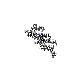 CCOc1cc2ncc(C#N)c(Nc3ccc(OCc4ccccn4)c(Cl)c3)c2cc1NC(/C=C/CN(C)C)OC(=O)/C=C\C(=O)N(C/C=C/CN(C)C)c1cc2c(Nc3ccc(OCc4ccccn4)c(Cl)c3)c(C#N)cnc2cc1OCC